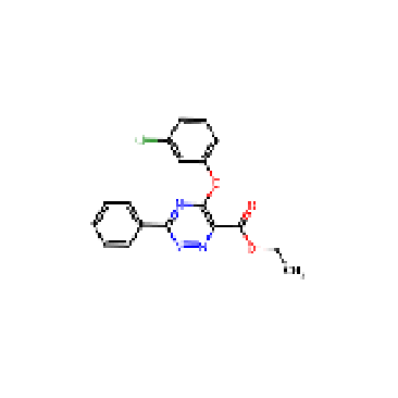 CCOC(=O)c1nnc(-c2ccccc2)nc1Oc1cccc(Cl)c1